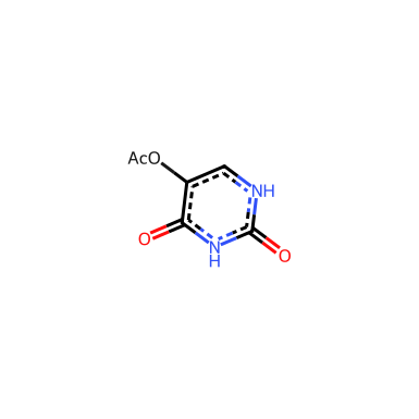 CC(=O)Oc1c[nH]c(=O)[nH]c1=O